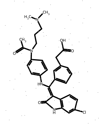 CC(=O)N(CCCN(C)C)c1ccc(N/C(=C2\C(=O)Nc3cc(Cl)ccc32)c2cccc(CC(=O)O)c2)cc1